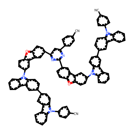 N#Cc1ccc(-c2cc(-c3ccc4oc5ccc(-n6c7ccccc7c7cc(-c8ccc9c(c8)c8ccccc8n9-c8ccc(C#N)cc8)ccc76)cc5c4c3)nc(-c3ccc4oc5ccc(-n6c7ccccc7c7cc(-c8ccc9c(c8)c8ccccc8n9-c8ccc(C#N)cc8)ccc76)cc5c4c3)n2)cc1